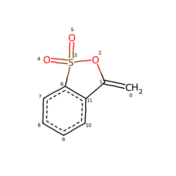 C=C1OS(=O)(=O)c2ccccc21